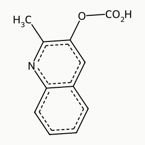 Cc1nc2ccccc2cc1OC(=O)O